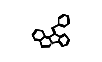 C1=CCc2c(ccn3c2c(=Cc2ccccc2)c2ccccc23)=C1